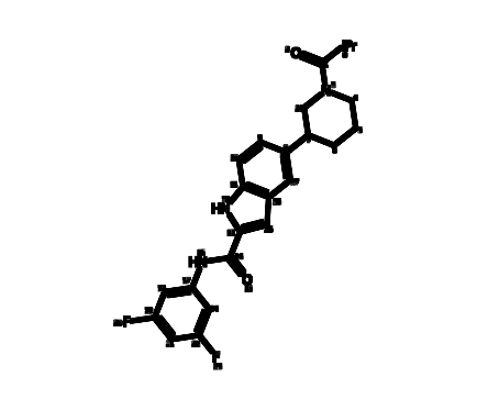 CC(C)C(=O)N1CCCC(c2ccc3[nH]c(C(=O)Nc4cc(F)cc(F)c4)cc3c2)C1